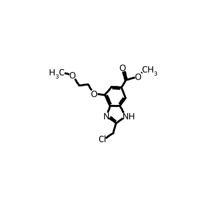 COCCOc1cc(C(=O)OC)cc2[nH]c(CCl)nc12